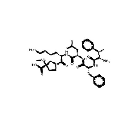 CNC1(C(=O)O)CCN(C(=O)[C@@H](CCCCN)NC(=O)[C@@H](CC(C)C)NC(=O)[C@@H](Cc2ccccc2)NC(=O)[C@H](N)[C@H](C)c2ccccc2)C1